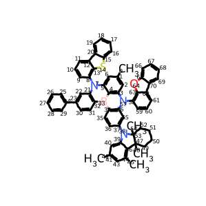 Cc1cc2c3c(c1)N(c1cccc4c1sc1ccccc14)c1cc(-c4ccccc4)ccc1B3c1ccc(N3c4cc(C)cc(C)c4C4(C)CCCCC34C)cc1N2c1cccc2c1oc1ccccc12